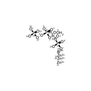 O.O.O.O=P([O-])([O-])[O-].O=P([O-])([O-])[O-].O=P([O-])([O-])[O-].[Al+3].[Zn+2].[Zn+2].[Zn+2]